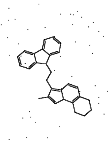 CC1=CC2C(=C1CCC1c3ccccc3-c3ccccc31)C=CC1=C2CCCC1